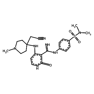 CN1CCC(CC#N)(Nc2cc[nH]c(=O)c2C(=N)Nc2ccc(S(=O)(=O)N(C)C)cc2)CC1